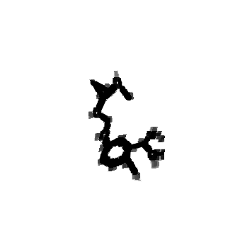 COC1CC1OCOc1ccc(C)c(C(N)O)c1